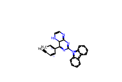 C#C/C=C\C(=C/C)C1=NC(n2c3ccccc3c3ccccc32)=NC2=NC=CNC21